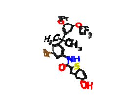 CC(C)Oc1cc(OC(F)(F)F)cc(C(C)(C)c2cc(Br)cc(NC(=O)c3cc4cc(O)ccc4s3)c2)c1